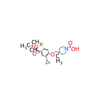 CC1(COc2cc(F)c(C(=O)OC(C)(C)C)cc2C2CC2)CCN(C(=O)O)CC1